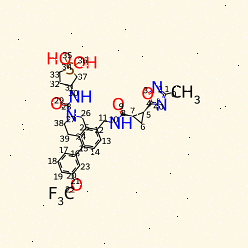 Cc1noc([C@H]2C[C@H]2C(=O)NCc2ccc(-c3cccc(OC(F)(F)F)c3)c3c2CN(C(=O)NC2CCS(O)(O)C2)CC3)n1